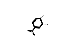 C[C@@H]1C=C(N(C)C)C=C[C@@H]1C